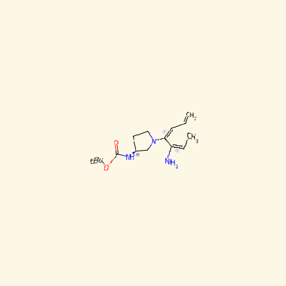 C=C/C=C(\C(N)=C/C)N1CC[C@H](NC(=O)OC(C)(C)C)C1